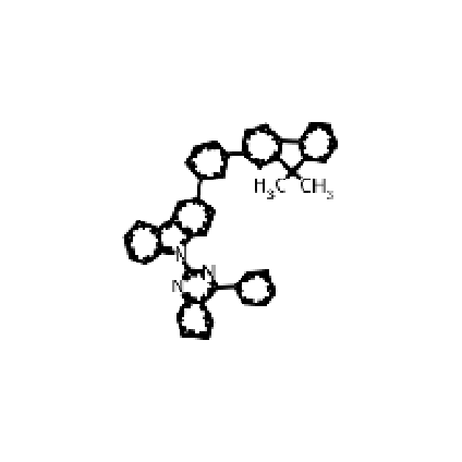 CC1(C)c2ccccc2-c2ccc(-c3cccc(-c4ccc5c(c4)c4ccccc4n5-c4nc(-c5ccccc5)c5ccccc5n4)c3)cc21